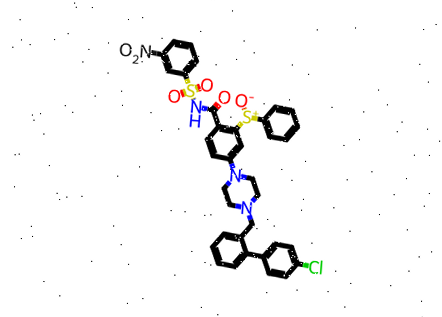 O=C(NS(=O)(=O)c1cccc([N+](=O)[O-])c1)c1ccc(N2CCN(Cc3ccccc3-c3ccc(Cl)cc3)CC2)cc1[S+]([O-])c1ccccc1